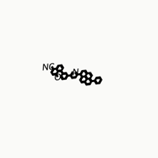 N#Cc1ccc2c3c(cccc13)-c1cc(-c3ccc(-c4ccc5ccc6c(-c7ccccc7)ccc7ccc4c5c76)nc3)ccc1O2